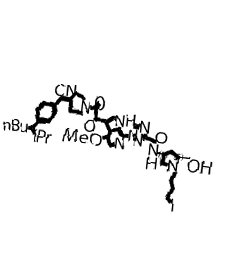 CCCCC(c1ccc(C(C#N)=C2CCN(C(=O)C(=O)c3c[nH]c4c(-n5cnc(C(=O)N[C@H]6C[C@@H](CO)N(CCCCI)C6)n5)ncc(OC)c34)CC2)cc1)C(C)C